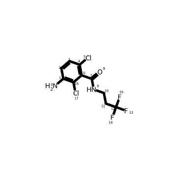 Nc1ccc(Cl)c(C(=O)NCCC(F)(F)F)c1Cl